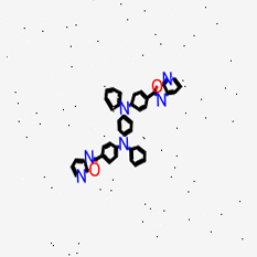 C1=CC(N(c2ccccc2)c2ccc(N(c3ccccc3)c3ccc(-c4nc5cccnc5o4)cc3)cc2)CC=C1c1nc2cccnc2o1